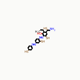 C/C=C\c1c(/C(S)=C/N)cc(S)c(N=Nc2ccc(N=Nc3ccc(S)cc3)cc2S)c1O